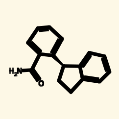 NC(=O)c1ccccc1[C@@H]1CCc2ccccc21